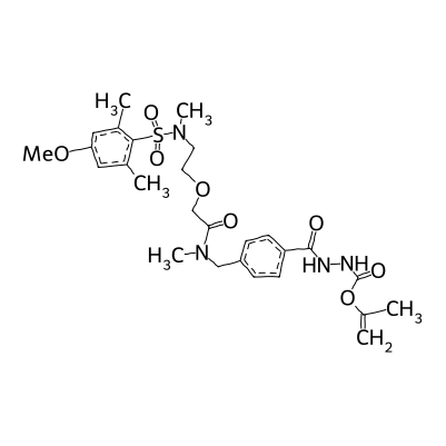 C=C(C)OC(=O)NNC(=O)c1ccc(CN(C)C(=O)COCCN(C)S(=O)(=O)c2c(C)cc(OC)cc2C)cc1